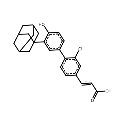 O=C(O)/C=C/c1ccc(-c2ccc(O)c(C34CC5CC(CC(C5)C3)C4)c2)c(Cl)c1